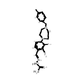 Cc1ccc(CN2CCN(c3ccc(/C=N/NC(N)=S)c(F)c3F)CC2)cc1